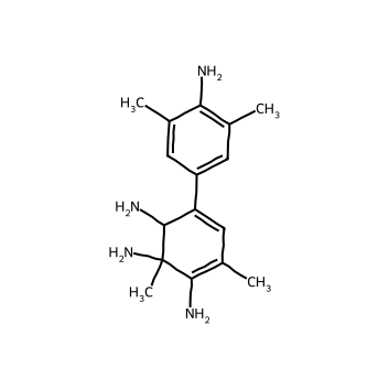 CC1=C(N)C(C)(N)C(N)C(c2cc(C)c(N)c(C)c2)=C1